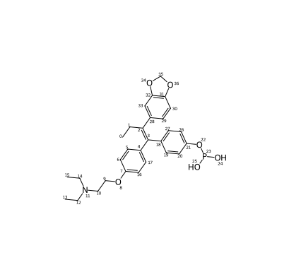 CCC(=C(c1ccc(OCCN(CC)CC)cc1)c1ccc(OP(O)O)cc1)c1ccc2c(c1)OCO2